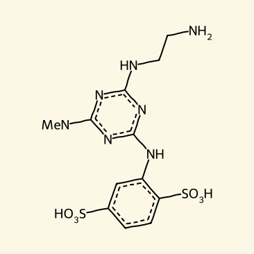 CNc1nc(NCCN)nc(Nc2cc(S(=O)(=O)O)ccc2S(=O)(=O)O)n1